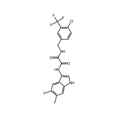 O=C(NCc1ccc(Cl)c(C(F)(F)F)c1)C(=O)Nc1c[nH]c2cc(F)c(F)cc12